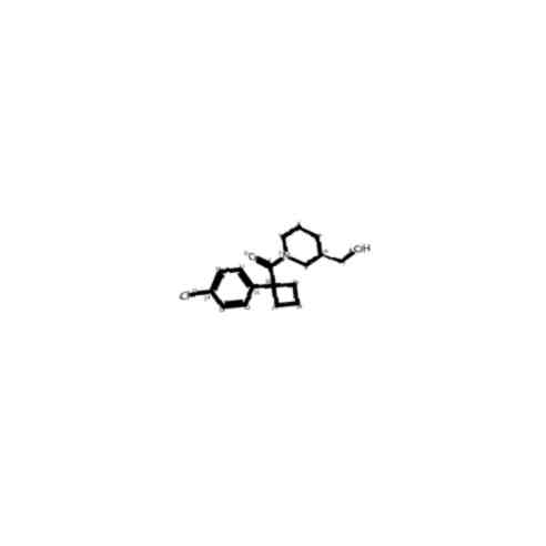 O=C(N1CCC[C@@H](CO)C1)C1(c2ccc(Cl)cc2)CCC1